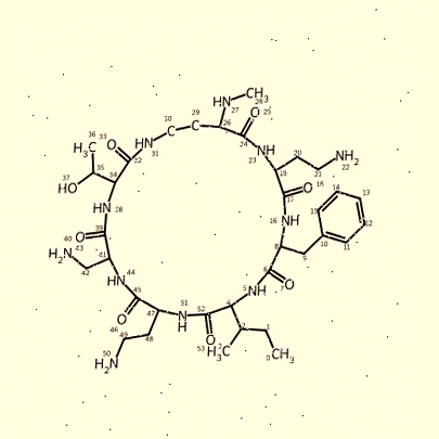 CCC(C)C1NC(=O)C(Cc2ccccc2)NC(=O)C(CCN)NC(=O)C(NC)CCNC(=O)C(C(C)O)NC(=O)C(CN)NC(=O)C(CCN)NC1=O